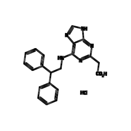 Cl.O=C(O)Cc1nc(NCC(c2ccccc2)c2ccccc2)c2nc[nH]c2n1